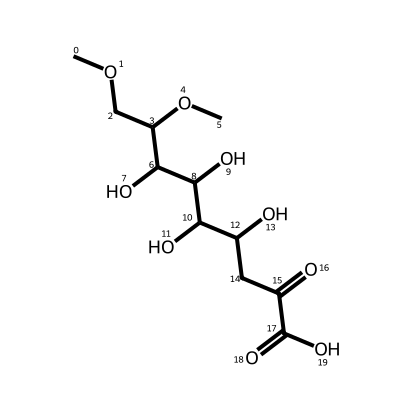 COCC(OC)C(O)C(O)C(O)C(O)CC(=O)C(=O)O